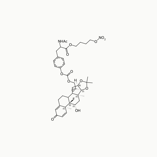 CC(=O)NC(Cc1ccc(OC(=O)OCC(=O)[C@@]23OC(C)(C)O[C@@H]2CC2C4CCC5=CC(=O)C=C[C@]5(C)[C@@]4(F)[C@@H](O)C[C@@]23C)cc1)C(=O)OCCCCO[N+](=O)[O-]